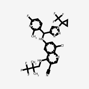 Cc1nc(F)ccc1C(Nc1cc(Cl)c2ncc(C#N)c(NCC(C)(C)C(F)(F)F)c2c1)c1cn(C2(C(F)(F)F)CC2)nn1